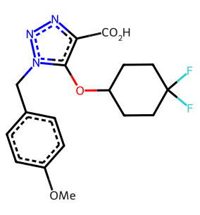 COc1ccc(Cn2nnc(C(=O)O)c2OC2CCC(F)(F)CC2)cc1